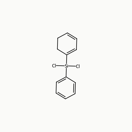 Cl[Si](Cl)(C1=CC=CCC1)c1ccccc1